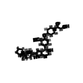 C=C(N1CCCC1)C12C=C(c3cc4c([nH]3)=NCNC=4c3ccc(OC4CCN(C(=O)CO)CC4)c(C#N)c3)C=C[C@@H]1C2